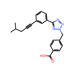 CC(C)CC#Cc1cccc(-c2nnn(Cc3ccc(C(=O)O)cc3)n2)c1